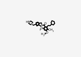 Cc1c(OP)cc(OI)c(C(=O)N2Cc3ccc(CN4CCNCC4)cc3C2)c1CCC1CCCCC1